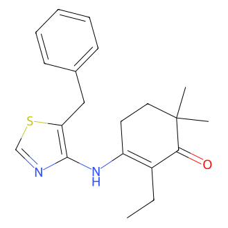 CCC1=C(Nc2ncsc2Cc2ccccc2)CCC(C)(C)C1=O